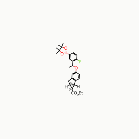 CCOC(=O)[C@H]1[C@@H]2Cc3cc(OC(C)c4cc(B5OC(C)(C)C(C)(C)O5)ccc4F)ccc3[C@@H]21